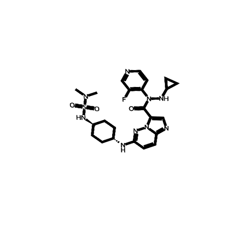 CN(C)S(=O)(=O)N[C@H]1CC[C@H](Nc2ccc3ncc(C(=O)N(NC4CC4)c4ccncc4F)n3n2)CC1